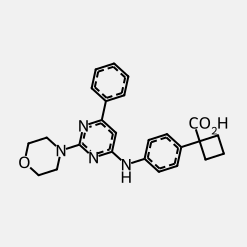 O=C(O)C1(c2ccc(Nc3cc(-c4ccccc4)nc(N4CCOCC4)n3)cc2)CCC1